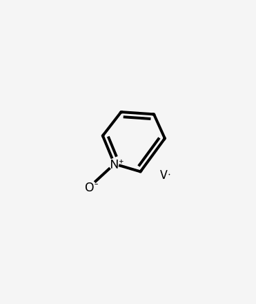 [O-][n+]1ccccc1.[V]